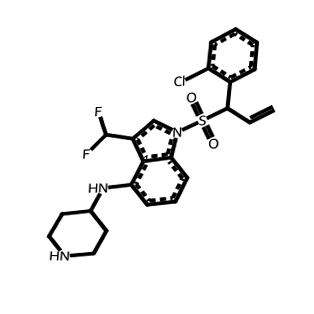 C=CC(c1ccccc1Cl)S(=O)(=O)n1cc(C(F)F)c2c(NC3CCNCC3)cccc21